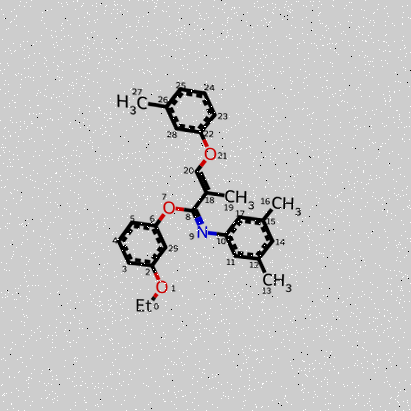 CCOc1cccc(OC(=Nc2cc(C)cc(C)c2)C(C)=COc2cccc(C)c2)c1